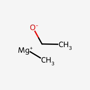 CC[O-].[CH3][Mg+]